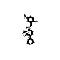 COc1ccc(F)c(CNc2ccc(-c3ccncc3)c3nncn23)c1